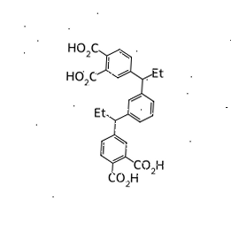 CCC(c1cccc(C(CC)c2ccc(C(=O)O)c(C(=O)O)c2)c1)c1ccc(C(=O)O)c(C(=O)O)c1